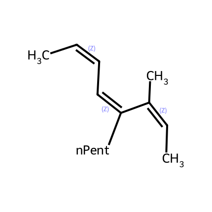 C\C=C/C=C(CCCCC)\C(C)=C/C